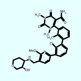 COc1nc(-c2cccc(-c3cccc(-c4c(C(N)=O)c(=O)n(C)c(=O)n4C)c3C)c2Cl)ccc1CN[C@@H]1CCOC[C@@H]1O